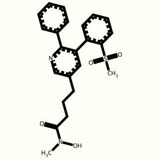 CN(O)C(=O)CCCc1cnc(-c2ccccc2)c(-c2ccccc2S(C)(=O)=O)c1